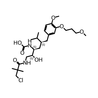 COCCCOc1cc(C[C@@H](C[C@H](NC(=O)O)[C@@H](O)CNC(=O)C(C)(C)CCl)C(C)C)ccc1OC